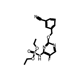 CCOP(=O)(Nc1nc(OCc2cccc(C#N)c2)ncc1F)OCC